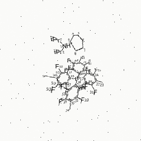 CC(C)[NH+](C(C)C)C1CCCCC1.Cc1c(F)c(F)c([B-](c2c(F)c(F)c(C)c(F)c2F)(c2c(F)c(F)c(C)c(F)c2F)c2c(F)c(F)c(C)c(F)c2F)c(F)c1F